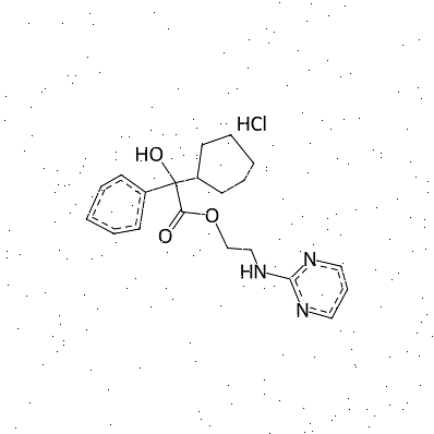 Cl.O=C(OCCNc1ncccn1)C(O)(c1ccccc1)C1CCCCC1